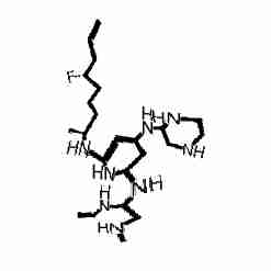 C=CC[C@@H](F)CCC[C@H](C)NC1=CC(NC2CNCCN2)CC(NC(CNC)NC=C)N1